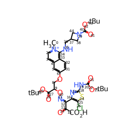 C[n+]1ccc2cc(OCC(ON=C(C(=O)C(=O)O)c3nc(NC(=O)OC(C)(C)C)sc3Cl)C(=O)OC(C)(C)C)ccc2c1NCC1CN(C(=O)OC(C)(C)C)C1